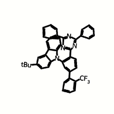 CC(C)(C)c1ccc2c(c1)c1ccccc1n2-c1cc(-c2ccccc2C(F)(F)F)ccc1-c1nc(-c2ccccc2)nc(-c2ccccc2)n1